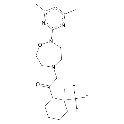 Cc1cc(C)nc(N2CCN(CC(=O)C3CCCCC3(C)C(F)(F)F)CCO2)n1